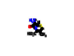 CC1=C(C(=O)O)N2C(=O)C(N)[C@H]2SC1